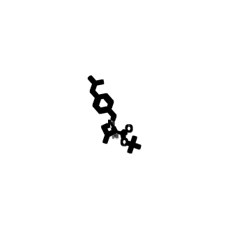 CC(C)Cc1ccc(CN2CC(C)[C@@H]2C(=O)OC(C)(C)C)cc1